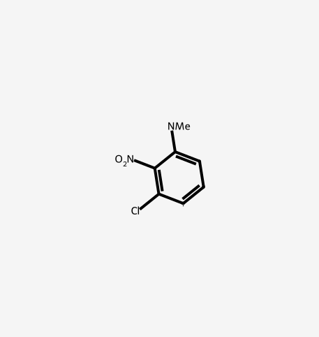 CNc1cc[c]c(Cl)c1[N+](=O)[O-]